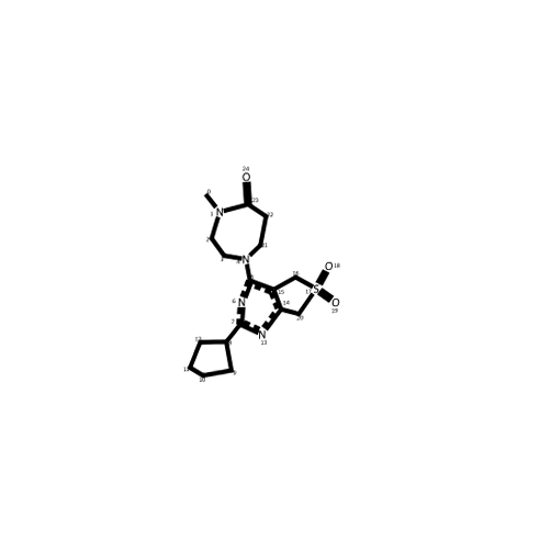 CN1CCN(c2nc(C3CCCC3)nc3c2CS(=O)(=O)C3)CCC1=O